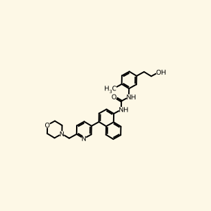 Cc1ccc(CCO)cc1NC(=O)Nc1ccc(-c2ccc(CN3CCOCC3)nc2)c2ccccc12